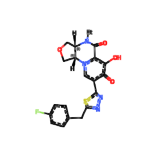 CCN1C(=O)c2c(O)c(=O)c(-c3nnc(Cc4ccc(F)cc4)s3)cn2[C@@H]2COC[C@@H]21